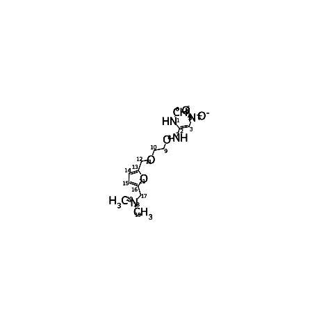 CN/C(=C\[N+](=O)[O-])NOCCOCc1ccc(CN(C)C)o1